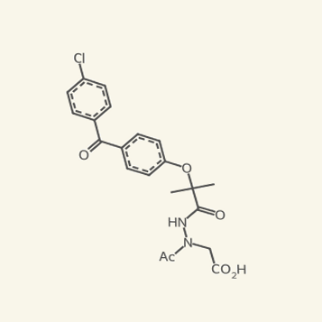 CC(=O)N(CC(=O)O)NC(=O)C(C)(C)Oc1ccc(C(=O)c2ccc(Cl)cc2)cc1